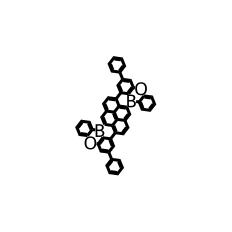 c1ccc(-c2cc3c4c(c2)-c2ccc5cc6c7c(ccc8cc(c2c5c87)B4c2ccccc2O3)-c2cc(-c3ccccc3)cc3c2B6c2ccccc2O3)cc1